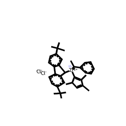 CC1=CC(C)[C](/[Zr+2](=[C](/C)c2ccccc2)[CH]2c3cc(C(C)(C)C)ccc3-c3ccc(C(C)(C)C)cc32)=C1C.[Cl-].[Cl-]